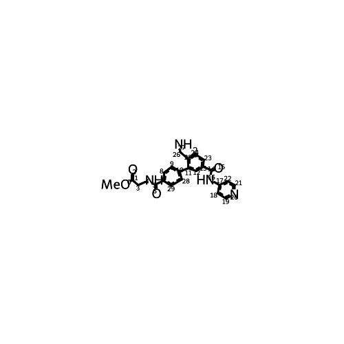 COC(=O)CNC(=O)c1ccc(-c2cc(C(=O)Nc3ccncc3)ccc2CN)cc1